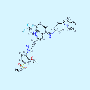 CCN(CC)[C@]1(CC)CC[C@@H](Nc2cccc3c2cc(C#CCNc2ccc(S(C)(=O)=O)cc2OC)n3CC(F)(F)F)CC1